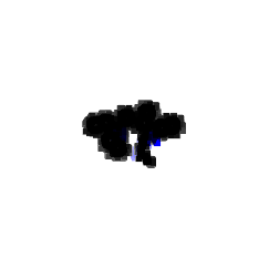 C=C/C=C\C=C\c1nc2cc3ccccc3cc2c2c1cc(-c1cccc(-c3nc4c5ccccc5ccc4c4c5c(ccc34)CCC=C5)c1)c1ccccc12